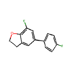 Fc1ccc(-c2cc(F)c3c(c2)C[CH]O3)cc1